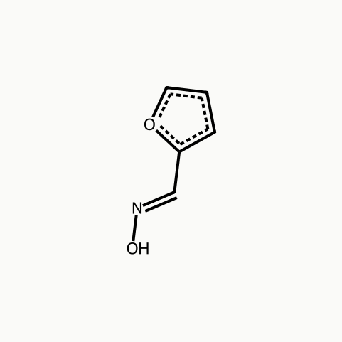 ON=Cc1ccco1